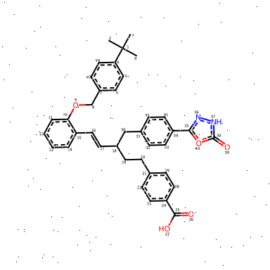 CC(C)(C)c1ccc(COc2ccccc2C=CC(CCc2ccc(C(=O)O)cc2)Cc2ccc(-c3n[nH]c(=O)o3)cc2)cc1